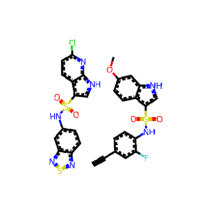 C#Cc1ccc(NS(=O)(=O)c2c[nH]c3cc(OC)ccc23)c(F)c1.O=S(=O)(Nc1ccc2nsnc2c1)c1c[nH]c2nc(Cl)ccc12